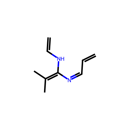 C=C/C=N\C(NC=C)=C(C)C